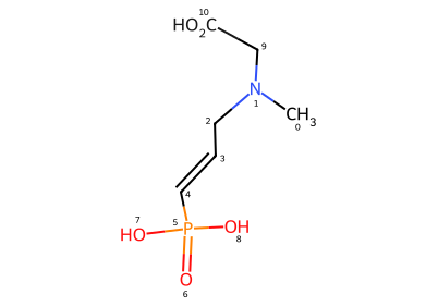 CN(CC=CP(=O)(O)O)CC(=O)O